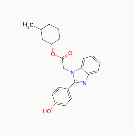 CC1CCCC(OC(=O)Cn2c(-c3ccc(O)cc3)nc3ccccc32)C1